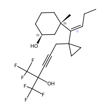 CC/C=C(/C1(CC#CC(O)(C(F)(F)F)C(F)(F)F)CC1)[C@@]1(C)CCC[C@H](O)C1